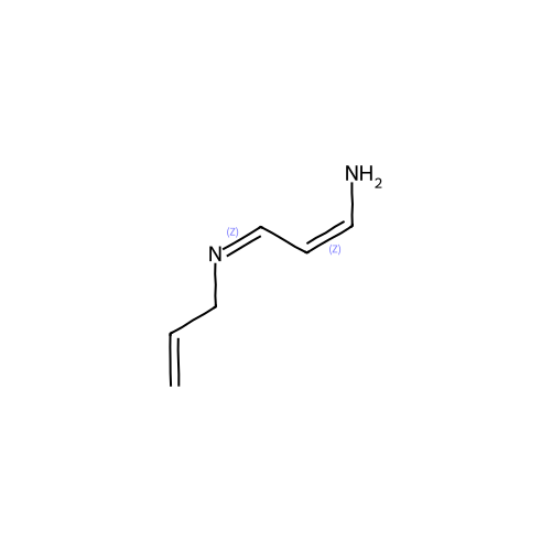 C=CC/N=C\C=C/N